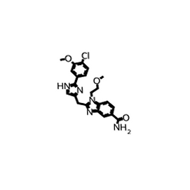 COCCn1c(Cc2c[nH]c(-c3ccc(Cl)c(OC)c3)n2)nc2cc(C(N)=O)ccc21